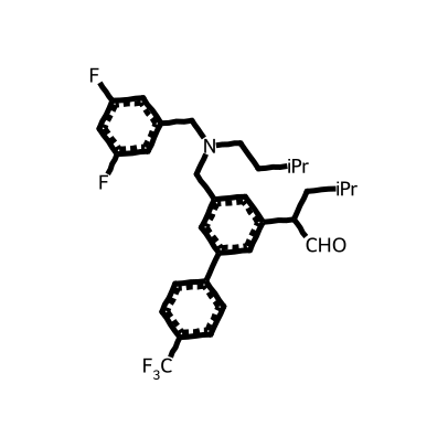 CC(C)CCN(Cc1cc(F)cc(F)c1)Cc1cc(-c2ccc(C(F)(F)F)cc2)cc(C(C=O)CC(C)C)c1